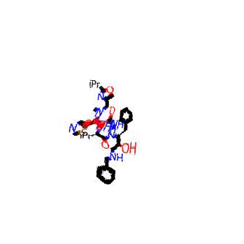 CC(C)c1nc(CN(C)C(=O)N[C@H](C(=O)N(NC(=O)OCc2cncs2)[C@@H](Cc2ccccc2)[C@@H](O)CNCc2ccccc2)C(C)C)co1